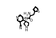 N#Cc1cnccc1[C@@]1(NC(=O)[C@@H](N)Cc2cccs2)CCNC1